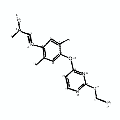 CCN(C)C=Nc1cc(C)c(Oc2ccnc(SCC(C)C)n2)cc1C